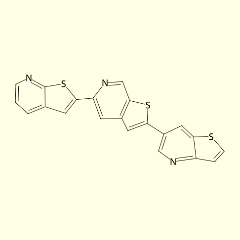 c1cnc2sc(-c3cc4cc(-c5cnc6ccsc6c5)sc4cn3)cc2c1